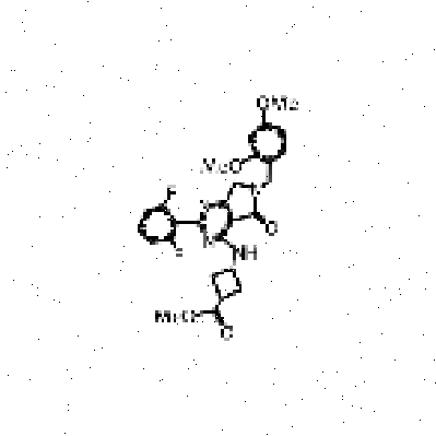 COc1ccc(CN2Cc3nc(-c4c(F)cccc4F)nc(N[C@H]4C[C@H](C(=O)OC)C4)c3C2=O)c(OC)c1